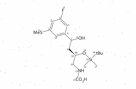 CSc1cc(F)cc(C(O)C[C@H](CNC(=O)O)O[Si](C)(C)C(C)(C)C)c1